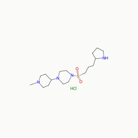 CN1CCC(N2CCN(S(=O)(=O)CCCC3CCCN3)CC2)CC1.Cl